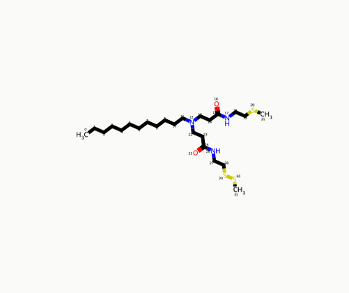 CCCCCCCCCCCCN(CCC(=O)NCCSC)CCC(=O)NCCSSC